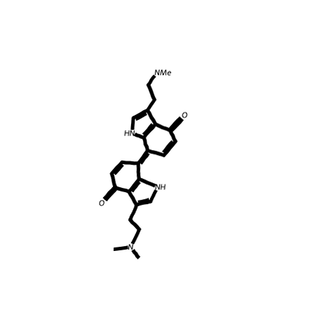 CNCCc1c[nH]c2c1C(=O)C=CC2=C1C=CC(=O)c2c(CCN(C)C)c[nH]c21